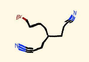 N#CCC(CC#N)CCBr